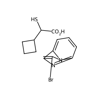 Brc1c2nc3cccc2n13.O=C(O)C(S)C1CCC1